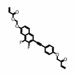 C=CC(=O)COc1ccc(C#Cc2cc3ccc(OCOC(=O)C=C)cc3c(F)c2F)cc1